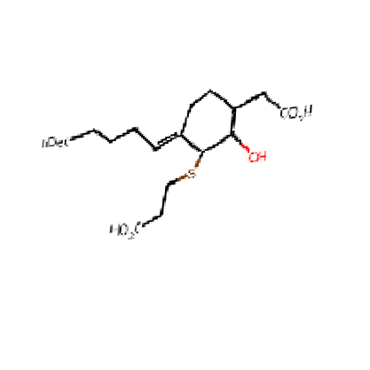 CCCCCCCCCCCCCC=C1CCC(CC(=O)O)C(O)C1SCCC(=O)O